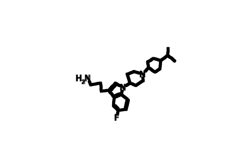 CC(C)C1CCC(N2CCC(n3cc(CCCN)c4cc(F)ccc43)CC2)CC1